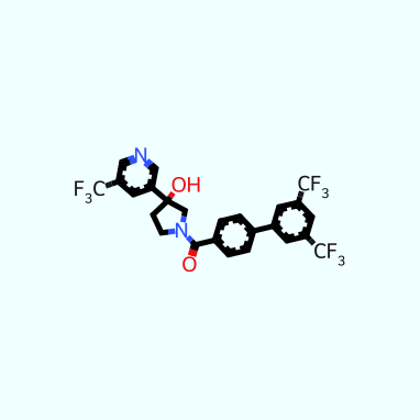 O=C(c1ccc(-c2cc(C(F)(F)F)cc(C(F)(F)F)c2)cc1)N1CCC(O)(c2cncc(C(F)(F)F)c2)C1